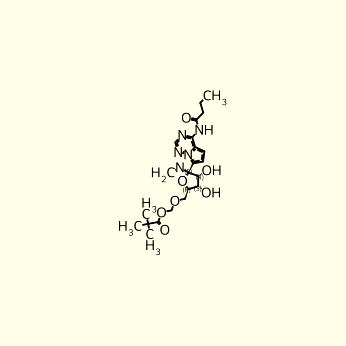 C=N[C@@]1(c2ccc3c(NC(=O)CCC)ncnn23)O[C@H](COCOC(=O)C(C)(C)C)[C@@H](O)[C@H]1O